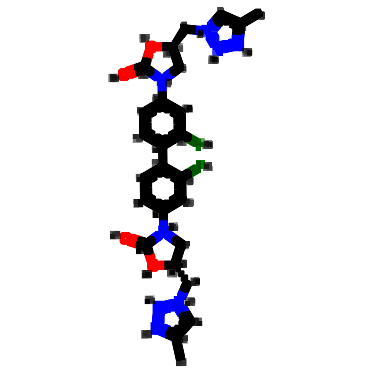 Cc1cn(C[C@H]2CN(c3ccc(-c4ccc(N5C[C@H](Cn6cc(C)nn6)OC5=O)cc4F)c(F)c3)C(=O)O2)nn1